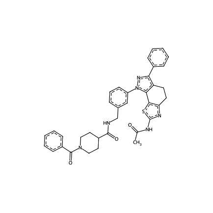 CC(=O)Nc1nc2c(s1)-c1c(c(-c3ccccc3)nn1-c1cccc(CNC(=O)C3CCN(C(=O)c4ccccc4)CC3)c1)CC2